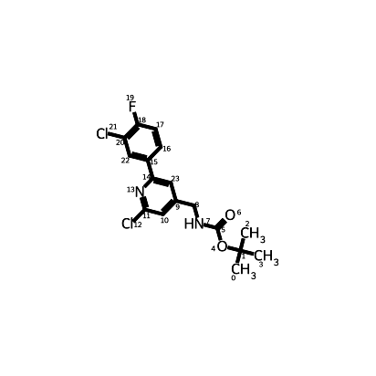 CC(C)(C)OC(=O)NCc1cc(Cl)nc(-c2ccc(F)c(Cl)c2)c1